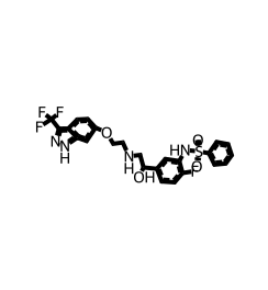 O=S(=O)(Nc1cc(C(O)CNCCOc2ccc3c(C(F)(F)F)n[nH]c3c2)ccc1F)c1ccccc1